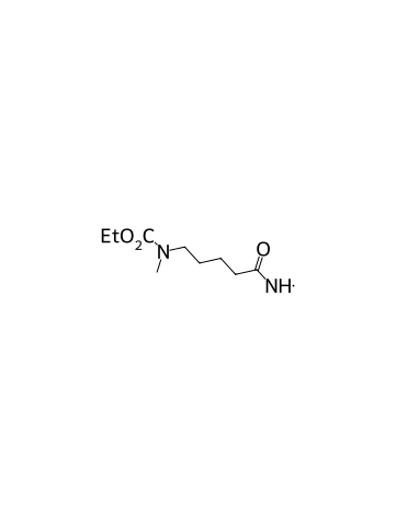 CCOC(=O)N(C)CCCCC([NH])=O